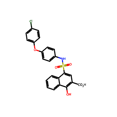 O=C(O)c1cc(S(=O)(=O)Nc2ccc(Oc3ccc(Cl)cc3)cc2)c2ccccc2c1O